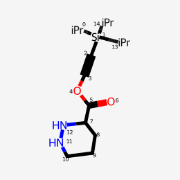 CC(C)[Si](C#COC(=O)C1CCCNN1)(C(C)C)C(C)C